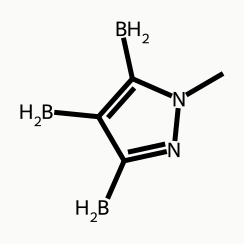 Bc1nn(C)c(B)c1B